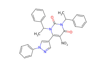 CC(c1ccccc1)n1c(-c2cnn(-c3ccccc3)c2)c([N+](=O)[O-])c(=O)n(C(C)c2ccccc2)c1=O